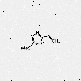 C=Cc1nnc(SC)o1